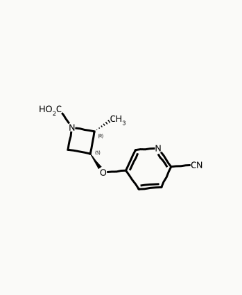 C[C@@H]1[C@@H](Oc2ccc(C#N)nc2)CN1C(=O)O